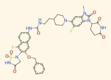 Cn1c(=O)n(C2CCC(=O)NC2=O)c2cc(F)c(N3CCC(CCNC(=O)Nc4ccc5c(F)c(N6CC(=O)NS6(=O)=O)c(OCc6ccccc6)cc5c4)CC3)cc21